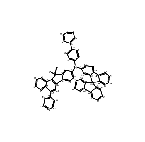 CC1(C)c2cc(N(c3ccc(-c4ccccc4)cc3)c3ccc4c(c3)C3(c5ccccc5-c5ccccc53)c3ccccc3-4)ccc2-c2cc(-c3ccccc3)c3ccccc3c21